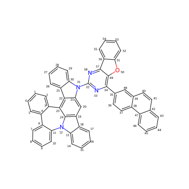 c1ccc2c(c1)-c1ccccc1-n1c3ccccc3c3cc4c(c-2c31)c1ccccc1n4-c1nc(-c2ccc3c(ccc4ccccc43)c2)c2oc3ccccc3c2n1